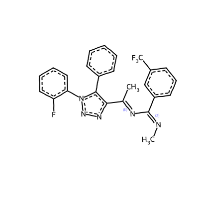 C/N=C(\N=C(/C)c1nnn(-c2ccccc2F)c1-c1ccccc1)c1cccc(C(F)(F)F)c1